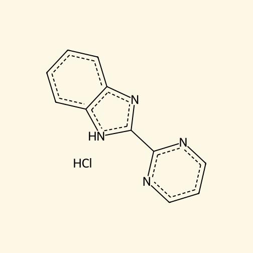 Cl.c1cnc(-c2nc3ccccc3[nH]2)nc1